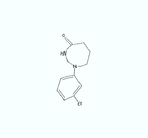 CCc1cccc(N2CCCC(=O)N2)c1